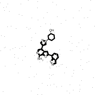 Nc1ncc(-c2cnn([C@@H]3CCC[C@@H](O)C3)c2)c2cc(-c3cccc4cnsc34)oc12